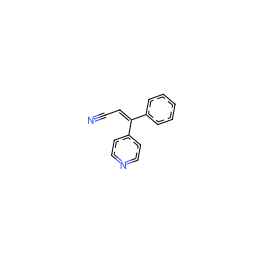 N#C/C=C(/c1ccccc1)c1ccncc1